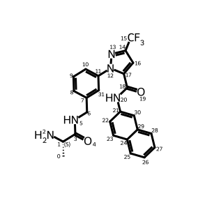 C[C@H](N)C(=O)NCc1cccc(-n2nc(C(F)(F)F)cc2C(=O)Nc2ccc3ccccc3c2)c1